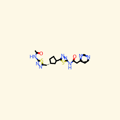 CC(=O)Nc1nnc(C[C@@H]2CCC(c3nnc(NC(=O)Cc4ccncn4)s3)C2)s1